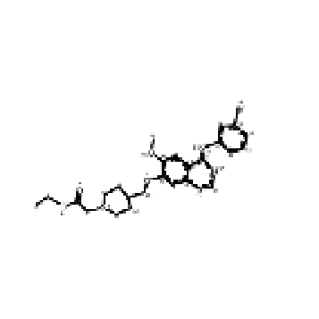 CCOC(=O)CN1CCC(COc2cc3ncnc(Nc4cccc(Br)c4)c3cc2OC)CC1